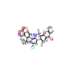 [2H]C([2H])([2H])c1c(-c2nc(Cl)ccc2NC(C)c2cc(C)cc3c(=O)c(C)c(C(C)C)oc23)ccc2c1C=NOB2O